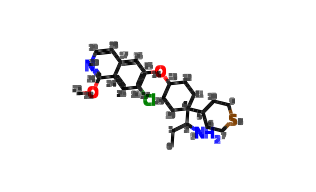 CCC(N)C1(C2CCSCC2)CCC(Oc2cc3ccnc(OC)c3cc2Cl)CC1